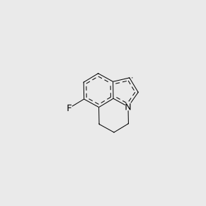 Fc1ccc2[c]cn3c2c1CCC3